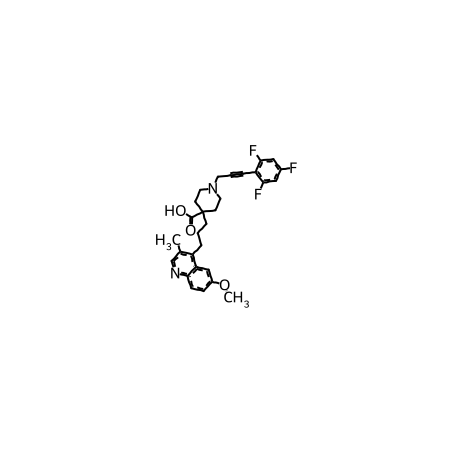 COc1ccc2ncc(C)c(CCCC3(C(=O)O)CCN(CC#Cc4c(F)cc(F)cc4F)CC3)c2c1